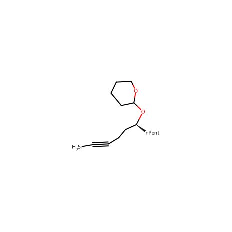 CCCCC[C@@H](CCC#C[SiH3])OC1CCCCO1